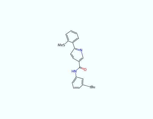 CSc1ccccc1-c1ccc(C(=O)Nc2cccc(C(C)(C)C)c2)cn1